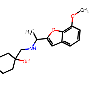 COc1cccc2cc(C(C)NCC3(O)CCCCC3)oc12